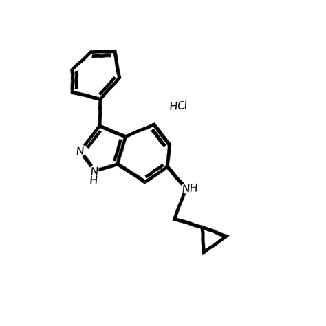 Cl.c1ccc(-c2n[nH]c3cc(NCC4CC4)ccc23)cc1